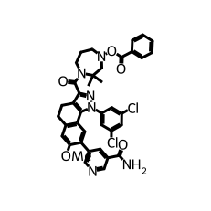 COc1cc2c(cc1-c1cncc(C(N)=O)c1)-c1c(c(C(=O)N3CCCN(OC(=O)c4ccccc4)CC3(C)C)nn1-c1cc(Cl)cc(Cl)c1)CC2